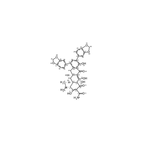 CN(C)[C@H]1C(O)=C(C(N)=O)C(=O)[C@]2(O)C(O)=C3C(=O)c4c(O)c(-c5ccc6c(c5)OCO6)cc(-c5ccc6c(c5)OCO6)c4C[C@@H]3C[C@H]12